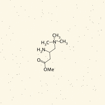 COC(=O)CC(N)C[N+](C)(C)C